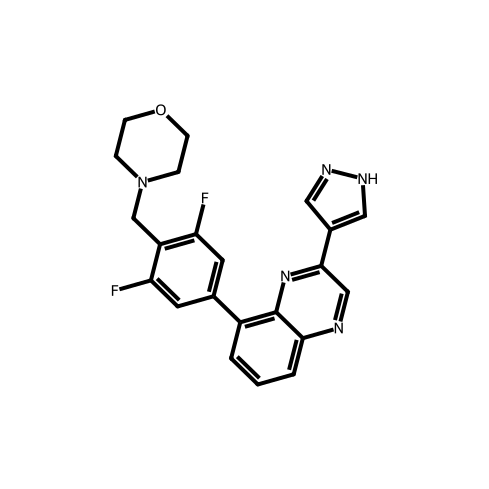 Fc1cc(-c2cccc3ncc(-c4cn[nH]c4)nc23)cc(F)c1CN1CCOCC1